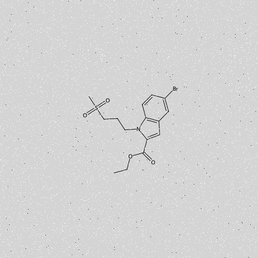 CCOC(=O)c1cc2cc(Br)ccc2n1CCCS(C)(=O)=O